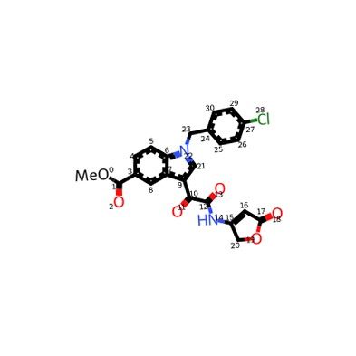 COC(=O)c1ccc2c(c1)c(C(=O)C(=O)NC1=CC(=O)OC1)cn2Cc1ccc(Cl)cc1